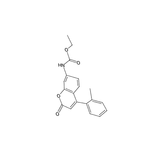 CCOC(=O)Nc1ccc2c(-c3ccccc3C)cc(=O)oc2c1